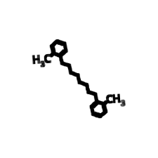 Cc1ccccc1CCCCCCCCc1ccccc1C